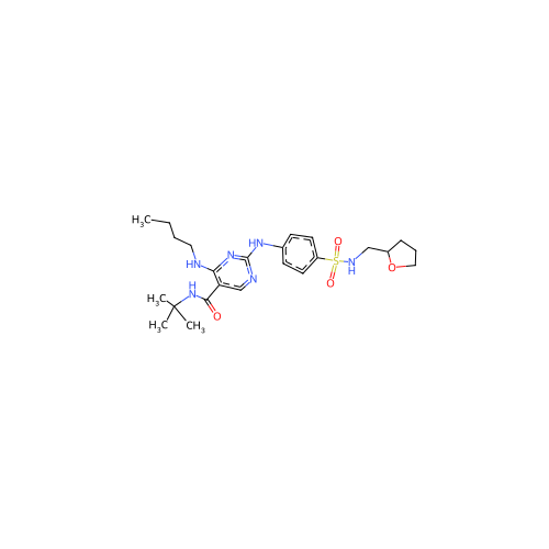 CCCCNc1nc(Nc2ccc(S(=O)(=O)NCC3CCCO3)cc2)ncc1C(=O)NC(C)(C)C